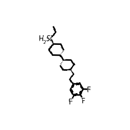 CC[SiH2][C@H]1CC[C@H]([C@H]2CC[C@H](CCc3cc(F)c(F)c(F)c3)CC2)CC1